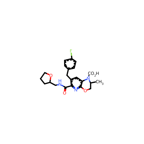 CC1COc2nc(C(=O)NCC3CCCO3)c(Cc3ccc(F)cc3)cc2N1C(=O)O